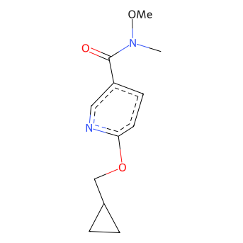 CON(C)C(=O)c1ccc(OCC2CC2)nc1